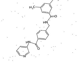 Cc1cc(C)cc(C(=O)NCc2ccc(C(=O)Nc3cccnc3)cc2)c1